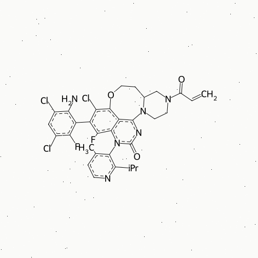 C=CC(=O)N1CCN2c3nc(=O)n(-c4c(C)ccnc4C(C)C)c4c(F)c(-c5c(N)c(Cl)cc(Cl)c5F)c(Cl)c(c34)OCCC2C1